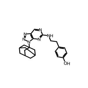 Oc1ccc(CCNc2ncc3nnn(C45CC6CC(CC(C6)C4)C5)c3n2)cc1